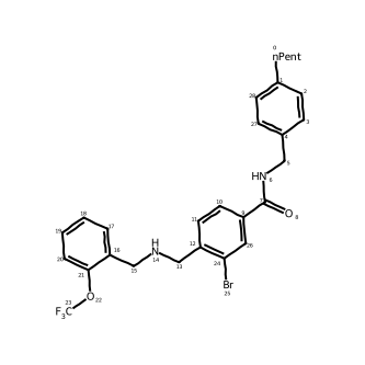 CCCCCc1ccc(CNC(=O)c2ccc(CNCc3ccccc3OC(F)(F)F)c(Br)c2)cc1